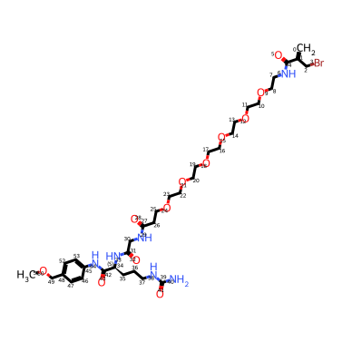 C=C(CBr)C(=O)NCCOCCOCCOCCOCCOCCOCCC(=O)NCC(=O)N[C@@H](CCCNC(N)=O)C(=O)Nc1ccc(COC)cc1